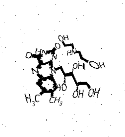 Cc1cc2nc3c(=O)[nH]c(=O)nc-3n(C[C@H](O)[C@H](O)[C@H](O)CO)c2cc1C.OCCNCCO